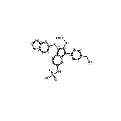 CCCCS(=O)(=O)Nc1ccc2c(c1)c(-c1ccc(CO)cc1)c(OC(=O)OCC)n2Cc1ccc2nsnc2c1